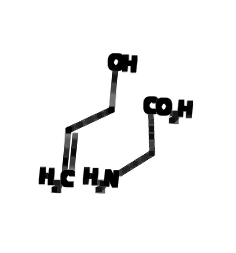 C=CCO.NCC(=O)O